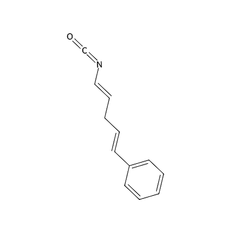 O=C=NC=CCC=Cc1ccccc1